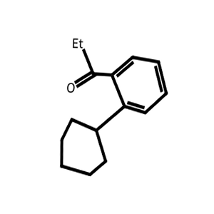 CCC(=O)c1ccccc1C1CCCCC1